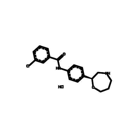 Cl.O=C(Nc1ccc([C@H]2CNCCCO2)cc1)c1cccc(Cl)c1